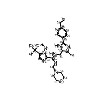 C=Nn1c(C(F)(F)F)cnc1/C(=N\CN1CCOCC1)NCC1NC(c2ccc(CC)nc2)=NN1C